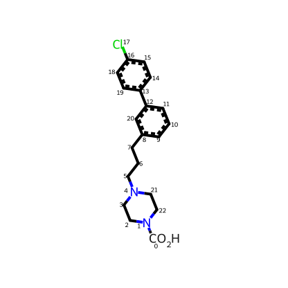 O=C(O)N1CCN(CCCc2cccc(-c3ccc(Cl)cc3)c2)CC1